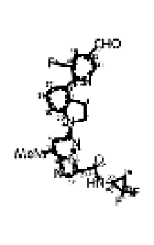 CNc1cc(N2CCc3c(-c4ncc(C=O)cc4F)cccc32)nn2c(C(=O)N[C@@H]3CC3(F)F)cnc12